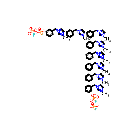 Cn1cc[n+](Cc2ccccc2)c1.Cn1cc[n+](Cc2ccccc2)c1.Cn1cc[n+](Cc2ccccc2)c1.Cn1cc[n+](Cc2ccccc2)c1.Cn1cc[n+](Cc2ccccc2)c1.Cn1cc[n+](Cc2ccccc2)c1.Cn1cc[n+](Cc2ccccc2)c1.Cn1cc[n+](Cc2ccccc2)c1.O=P([O-])([O-])F.O=P([O-])([O-])F.O=P([O-])([O-])F.O=P([O-])([O-])F